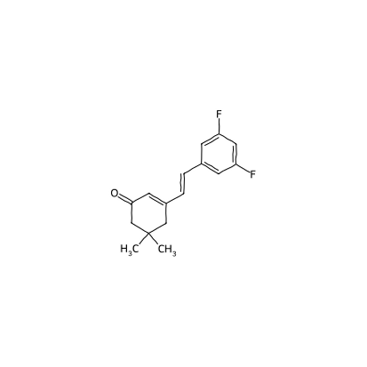 CC1(C)CC(=O)C=C(/C=C/c2cc(F)cc(F)c2)C1